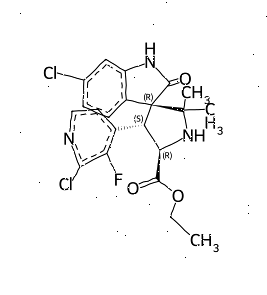 CCOC(=O)[C@@H]1NC(C)(C)[C@@]2(C(=O)Nc3cc(Cl)ccc32)[C@H]1c1ccnc(Cl)c1F